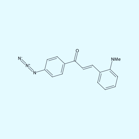 CNc1ccccc1C=CC(=O)c1ccc(N=[N+]=[N-])cc1